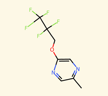 Cc1cnc(OCC(F)(F)C(F)(F)F)cn1